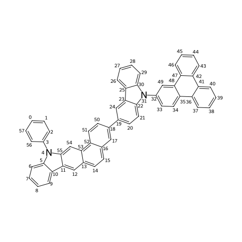 c1ccc(-n2c3ccccc3c3cc4ccc5cc(-c6ccc7c(c6)c6ccccc6n7-c6ccc7c8ccccc8c8ccccc8c7c6)ccc5c4cc32)cc1